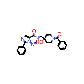 O=C(c1ccccc1)N1CCC(O)(Cn2cnn3c(-c4ccccc4)ncc3c2=O)CC1